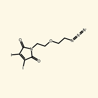 [N-]=[N+]=NCCOCCN1C(=O)C(I)=C(I)C1=O